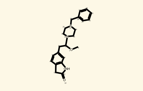 COC(Cc1ccc2c(c1)NC(=O)C2)N1CCN(Cc2ccccc2)CC1